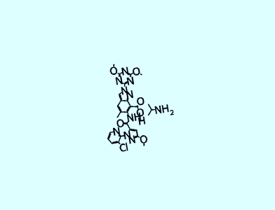 CC(C)N.COc1cc(C(=O)Nc2c(C)cc3cn(-c4nc(OC)nc(OC)n4)nc3c2C(=O)O)n(-c2ncccc2Cl)n1